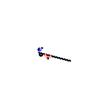 CCCCCCCCCCCCCCCCOCC(COCc1cccc(Cn2cc[n+](CC)c2)c1)OCC